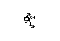 OCC[C@H]1OCC[C@@H](O)[C@H]1O